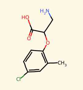 Cc1cc(Cl)ccc1OC(CN)C(=O)O